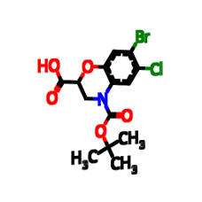 CC(C)(C)OC(=O)N1CC(C(=O)O)Oc2cc(Br)c(Cl)cc21